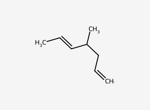 [CH]=CCC(C)C=CC